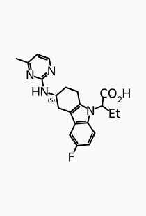 CCC(C(=O)O)n1c2c(c3cc(F)ccc31)C[C@@H](Nc1nccc(C)n1)CC2